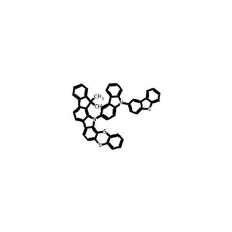 CC1(C)c2ccccc2-c2ccc3c4ccc5c(c4n(-c4ccc6c(c4)c4ccccc4n6-c4ccc6sc7ccccc7c6c4)c3c21)Sc1ccccc1S5